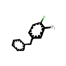 FC(F)(F)c1cc(Cc2ccccc2)ccc1Cl